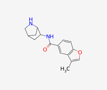 Cc1coc2ccc(C(=O)NC3CC4CNC3C4)cc12